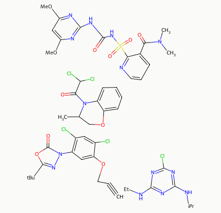 C#CCOc1cc(-n2nc(C(C)(C)C)oc2=O)c(Cl)cc1Cl.CC1COc2ccccc2N1C(=O)C(Cl)Cl.CCNc1nc(Cl)nc(NC(C)C)n1.COc1cc(OC)nc(NC(=O)NS(=O)(=O)c2ncccc2C(=O)N(C)C)n1